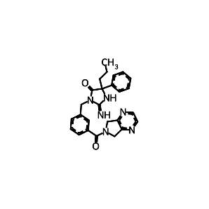 CCCC1(c2ccccc2)NC(=N)N(Cc2cccc(C(=O)N3Cc4nccnc4C3)c2)C1=O